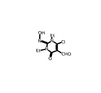 CCn1c(Cl)c(C=O)c(=O)n(CC)c1=NO